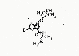 COC[C@H](C)NC(=O)c1cn(COCCS(C)(C)C)c2ncc(Br)nc12